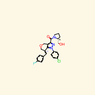 O=C(c1nn(-c2ccc(Cl)cc2)c2c1COC/C2=C\c1ccc(F)cc1)N1CCC[C@@H]1CO